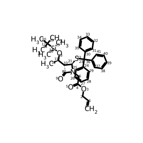 C=CCOC(=O)CN1C(=O)[C@H]([C@@H](C)O[Si](C)(C)C(C)(C)C)[C@H]1SC(c1ccccc1)(c1ccccc1)c1ccccc1